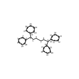 c1ccc(C(CCCCC(c2ccccc2)c2ccccc2)c2ccccc2)cc1